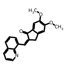 COc1cc2c(cc1OC)C(=O)C(=Cc1cccc3cccnc13)C2